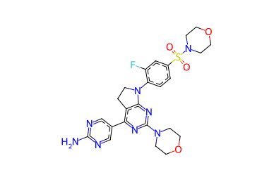 Nc1ncc(-c2nc(N3CCOCC3)nc3c2CCN3c2ccc(S(=O)(=O)N3CCOCC3)cc2F)cn1